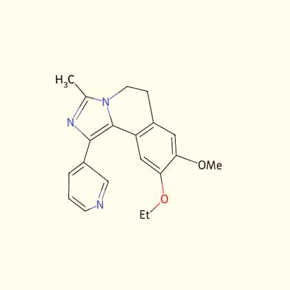 CCOc1cc2c(cc1OC)CCn1c(C)nc(-c3cccnc3)c1-2